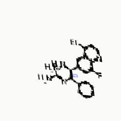 CCc1ccnc2c(F)cc(/C(N)=C(/N=C(N)N)c3ccccc3)cc12